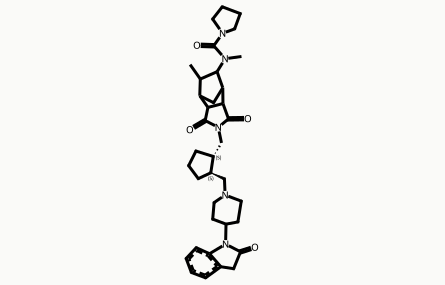 CC1C2CC(C3C(=O)N(C[C@H]4CCC[C@@H]4CN4CCC(N5C(=O)Cc6ccccc65)CC4)C(=O)C23)C1N(C)C(=O)N1CCCC1